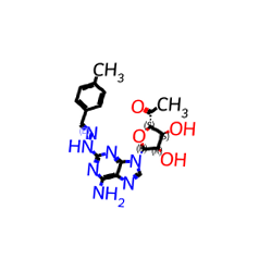 CC(=O)[C@H]1O[C@@H](n2cnc3c(N)nc(N/N=C/c4ccc(C)cc4)nc32)[C@H](O)[C@@H]1O